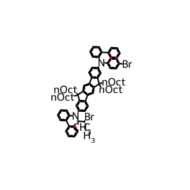 CCCCCCCCC1(CCCCCCCC)c2cc(N(c3ccc(Br)cc3)c3ccccc3-c3ccccc3)ccc2-c2cc3c(cc21)-c1ccc(N(c2ccccc2-c2ccccc2)C(C)[C@@H](C)Br)cc1C3(CCCCCCCC)CCCCCCCC